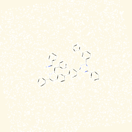 N=C(/C(=C1\NC(c2ccccc2)=Cc2ccc(-c3ccc(-c4nc(-c5ccccc5)nc(-c5cccc(-c6ccccc6)c5)n4)cc3)cc21)c1ccccc1)c1ccccc1